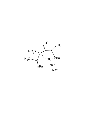 CCCCC(C)C(C(=O)[O-])C(C(=O)[O-])(C(C)CCCC)S(=O)(=O)O.[Na+].[Na+]